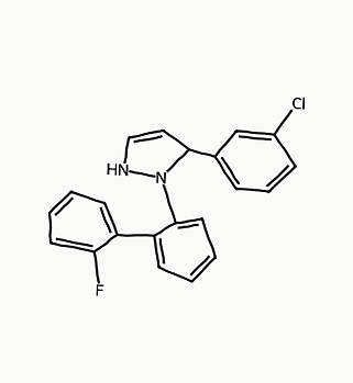 Fc1ccccc1-c1ccccc1N1NC=CC1c1cccc(Cl)c1